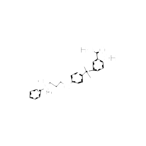 CC(C)(c1ccc(OCCCS(=O)(=O)c2ccccc2)cc1)c1ccc(O)c(C(=O)O)c1